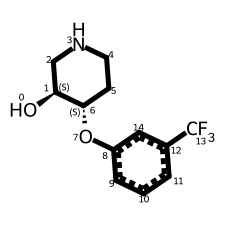 O[C@H]1CNCC[C@@H]1Oc1cccc(C(F)(F)F)c1